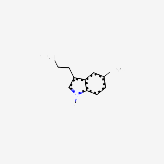 COc1ccc2c(c1)c(CCNC(C)=O)cn2C(C)=O